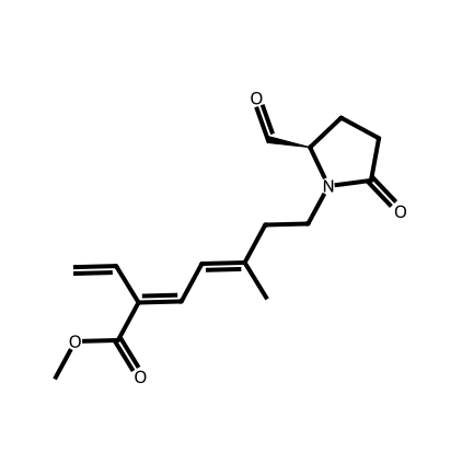 C=C/C(=C\C=C(/C)CCN1C(=O)CC[C@@H]1C=O)C(=O)OC